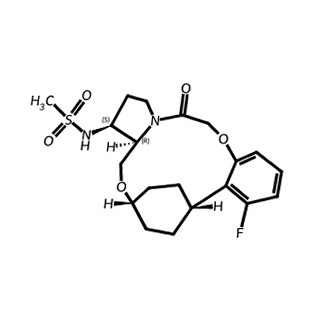 CS(=O)(=O)N[C@H]1CCN2C(=O)COc3cccc(F)c3[C@H]3CC[C@H](CC3)OC[C@@H]12